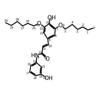 CCCCCCOc1cc(C=CC(=O)Nc2cccc(O)c2)cc(OCCCCCC)c1O